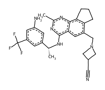 Cc1nc(N[C@H](C)c2cc(N)cc(C(F)(F)F)c2)c2cc(CN3CC(C#N)C3)c3c(c2n1)CCC3